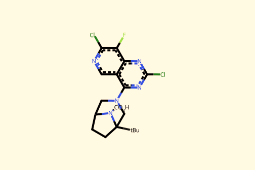 CC(C)(C)C12CCC(CN(c3nc(Cl)nc4c(F)c(Cl)ncc34)C1)N2C(=O)O